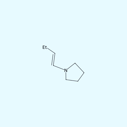 [CH2]CC=CN1CCCC1